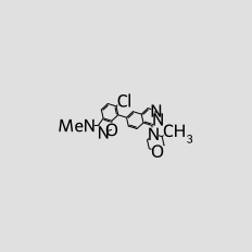 CNc1noc2c(-c3ccc4c(N5CCOCC5C)nncc4c3)c(Cl)ccc12